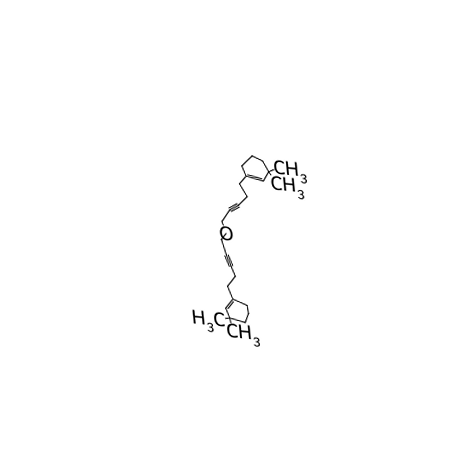 CC1(C)C=C(CCC#CCOCC#CCCC2=CC(C)(C)CCC2)CCC1